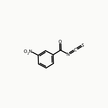 O=C(N=C=S)c1cccc([N+](=O)[O-])c1